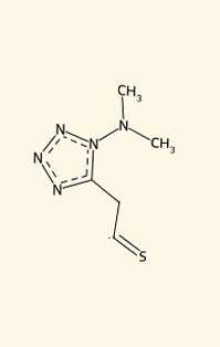 CN(C)n1nnnc1C[C]=S